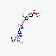 CC(C)(C)OC(=O)Nc1ccc(CNC(=O)C=CCOc2ccc(-c3ccc(C(=O)N4CCC(F)(F)CC4)cn3)cc2C(F)(F)F)cn1